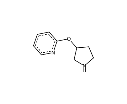 c1ccc(OC2CCNC2)nc1